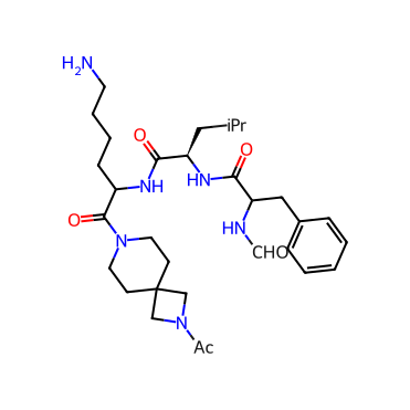 CC(=O)N1CC2(CCN(C(=O)C(CCCCN)NC(=O)[C@@H](CC(C)C)NC(=O)C(Cc3ccccc3)NC=O)CC2)C1